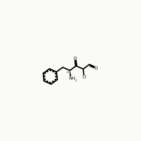 N[C@@H](Cc1ccccc1)C(=O)C(Cl)C=O